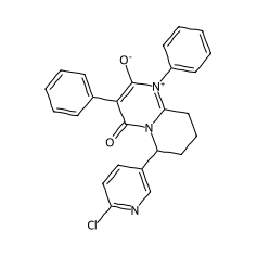 O=c1c(-c2ccccc2)c([O-])[n+](-c2ccccc2)c2n1C(c1ccc(Cl)nc1)CCC2